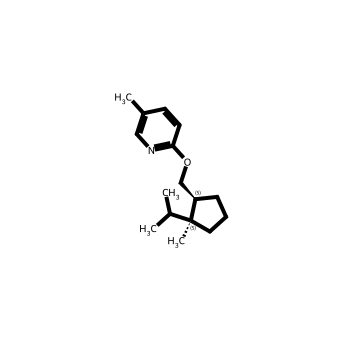 Cc1ccc(OC[C@H]2CCC[C@@]2(C)C(C)C)nc1